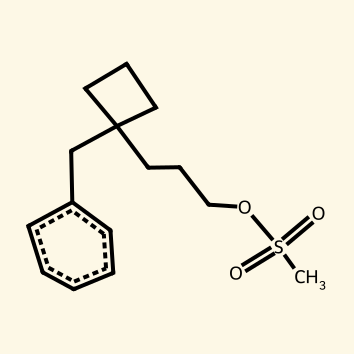 CS(=O)(=O)OCCCC1(Cc2ccccc2)CCC1